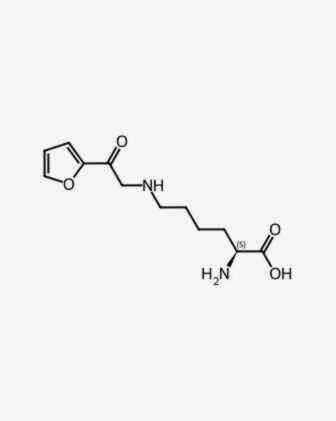 N[C@@H](CCCCNCC(=O)c1ccco1)C(=O)O